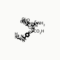 C[n+]1cc(-c2ccc(OCC(O/N=C(\C(=O)N[C@@H]3C(=O)N(OS(=O)(=O)[O-])C3(C)C)c3csc(N)n3)C(=O)O)cc2)c(N)n1CCCN